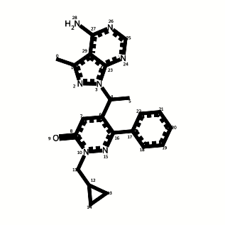 Cc1nn(C(C)c2cc(=O)n(CC3CC3)nc2-c2ccccc2)c2ncnc(N)c12